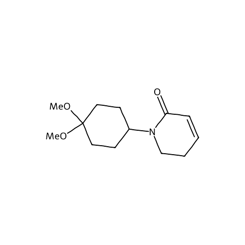 COC1(OC)CCC(N2CCC=CC2=O)CC1